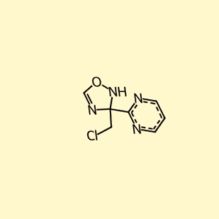 ClCC1(c2ncccn2)N=CON1